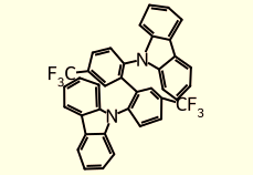 FC(F)(F)c1ccc(-n2c3ccccc3c3ccccc32)c(-c2cc(C(F)(F)F)ccc2-n2c3ccccc3c3ccccc32)c1